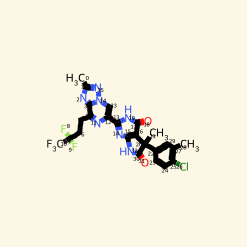 Cc1nc2c(CCC(F)(F)C(F)(F)F)nc(-c3nc4c(c(=O)[nH]3)C(C)(c3ccc(Cl)c(C)c3)C(=O)N4)cn2n1